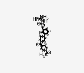 CC(=O)N1CCC(C(=O)N2CCN(c3cccc(COC(=O)NC(=N)N)c3F)CC2)CC1